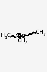 CCCCCCCC[n+]1ccn(CCCC)c1C